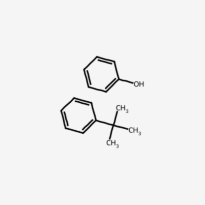 CC(C)(C)c1ccccc1.Oc1ccccc1